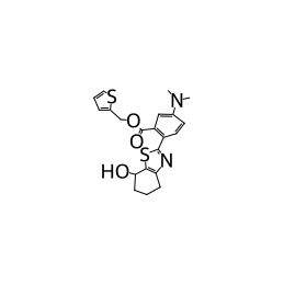 CN(C)c1ccc(-c2nc3c(s2)C(O)CCC3)c(C(=O)OCc2cccs2)c1